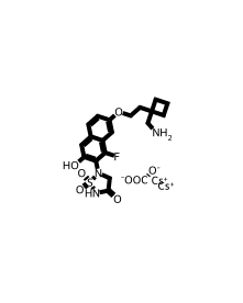 NCC1(CCOc2ccc3cc(O)c(N4CC(=O)NS4(=O)=O)c(F)c3c2)CCC1.O=C([O-])[O-].[Cs+].[Cs+]